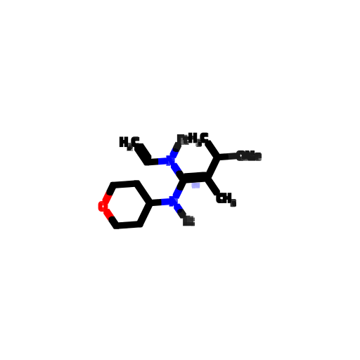 C=CN(CC)/C(=C(/C)C(C)OC)N(CC)C1CCOCC1